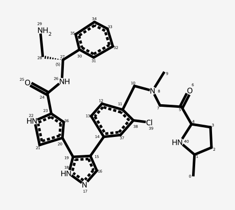 CC1CCC(C(=O)CN(C)Cc2ccc(-c3cn[nH]c3-c3c[nH]c(C(=O)N[C@H](CN)c4ccccc4)c3)cc2Cl)N1